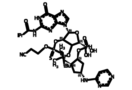 CC(C)C(=O)Nc1nc2c(ncn2[C@@H]2O[C@H](CO)C(O[Si](C)(C)C(C)(C)C)[C@H]2OP(=S)(OCCC#N)OC[C@H]2C[C@@H](Nc3ccncn3)C[C@@H]2O[PH](=O)O)c(=O)[nH]1